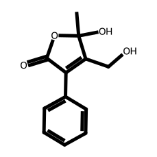 CC1(O)OC(=O)C(c2ccccc2)=C1CO